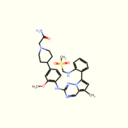 COc1cc(C2CCN(CC(N)=O)CC2)ccc1Nc1ncc2c(C)cc(-c3ccccc3NCS(C)(=O)=O)n2n1